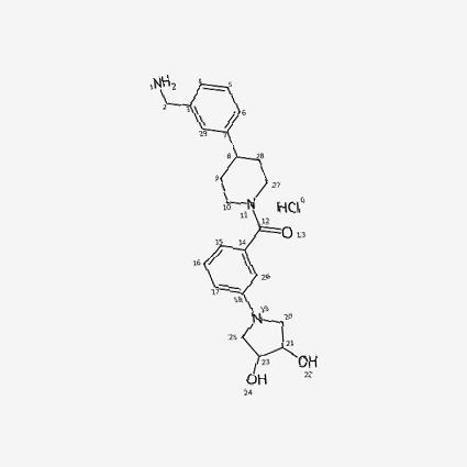 Cl.NCc1cccc(C2CCN(C(=O)c3cccc(N4CC(O)C(O)C4)c3)CC2)c1